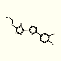 CC(=O)CSc1nnc(-c2ccc(-c3ccc(Cl)c(Cl)c3)o2)[nH]1